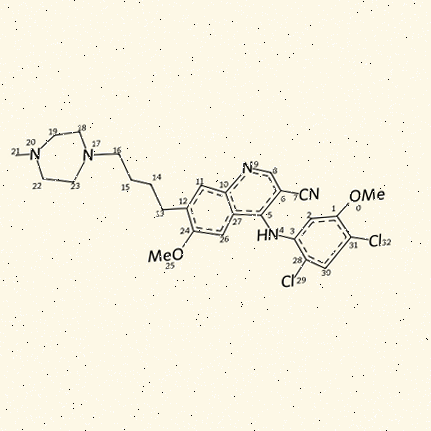 COc1cc(Nc2c(C#N)cnc3cc(CCCCN4CCN(C)CC4)c(OC)cc23)c(Cl)cc1Cl